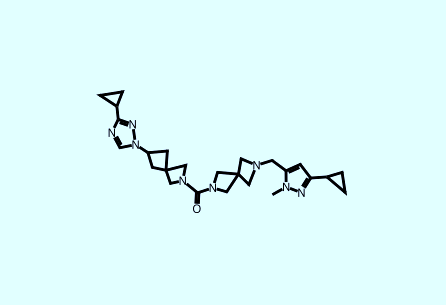 Cn1nc(C2CC2)cc1CN1CC2(C1)CN(C(=O)N1CC3(CC(n4cnc(C5CC5)n4)C3)C1)C2